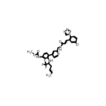 C/C=C/CC(Nc1cc(NC(=O)OC)ccc1-c1ccnc(CNC(=O)/C=C/c2cc(Cl)ccc2-n2cnnn2)c1)C(F)(F)F